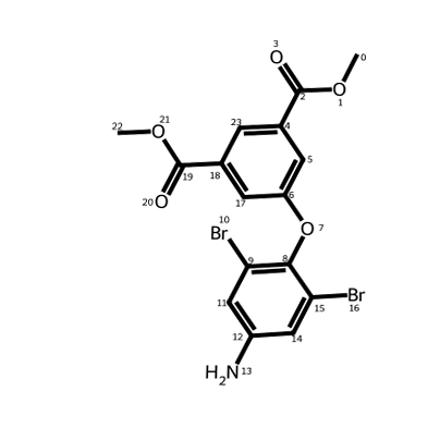 COC(=O)c1cc(Oc2c(Br)cc(N)cc2Br)cc(C(=O)OC)c1